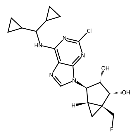 O[C@H]1[C@H](n2cnc3c(NC(C4CC4)C4CC4)nc(Cl)nc32)[C@H]2C[C@@]2(CF)[C@H]1O